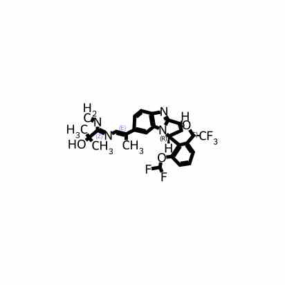 C=N/C(=N\C=C(/C)c1ccc2nc3n(c2c1)[C@@H]1C[C@@H]3O[C@H](C(F)(F)F)c2cccc(OC(F)F)c21)C(C)(C)O